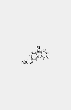 CCCCSc1ccc2c(c1)c1ccccc1n2CC